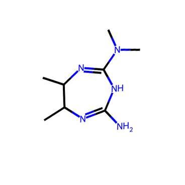 CC1N=C(N)NC(N(C)C)=NC1C